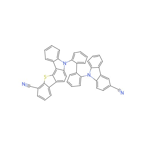 N#Cc1ccc2c(c1)c1ccccc1n2-c1ccccc1-c1ccccc1-n1c2ccccc2c2c3sc4c(C#N)cccc4c3ccc21